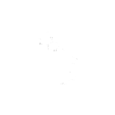 COc1c(F)cc(Cn2cc(CNc3cc4c(c(C)n3)NC(=O)C(C(C)C)N4C)cn2)cc1F